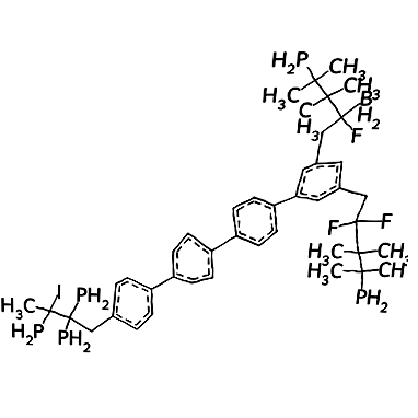 BC(F)(Cc1cc(CC(F)(F)C(C)(C)C(C)(C)P)cc(-c2ccc(-c3ccc(-c4ccc(CC(P)(P)C(C)(P)I)cc4)cc3)cc2)c1)C(C)(C)C(C)(C)P